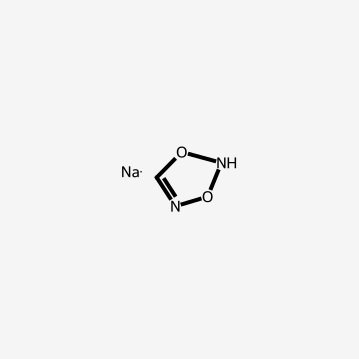 C1=NONO1.[Na]